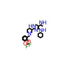 CC(=N)C1=C(NC2CCCCC2)N=C(C2CCCN(Cc3cccc4c3OC(F)(F)O4)C2)NC1